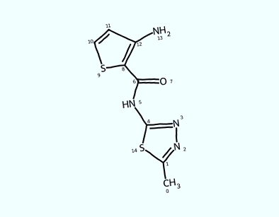 Cc1nnc(NC(=O)c2sccc2N)s1